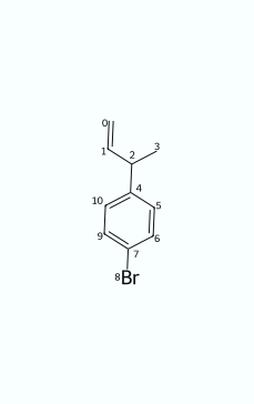 C=CC(C)c1ccc(Br)cc1